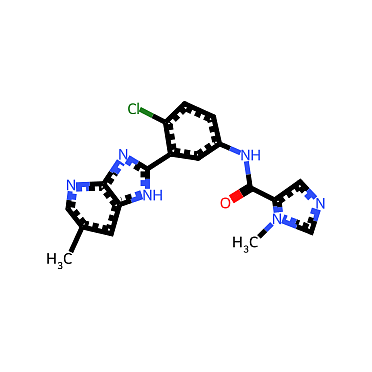 Cc1cnc2nc(-c3cc(NC(=O)c4cncn4C)ccc3Cl)[nH]c2c1